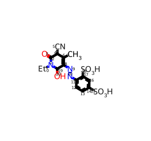 CCN1C(=O)C(C#N)C(C)=C(/N=N/c2ccc(S(=O)(=O)O)cc2S(=O)(=O)O)C1O